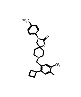 Cc1cc(C2CCC2)c(CN2CCC3(CC2)CN(c2ccc(C(=O)O)cc2)C(=O)O3)cc1C(F)(F)F